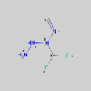 C=NN(NN)C(F)F